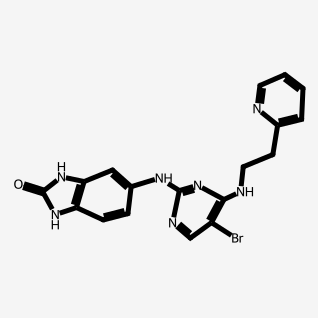 O=c1[nH]c2ccc(Nc3ncc(Br)c(NCCc4ccccn4)n3)cc2[nH]1